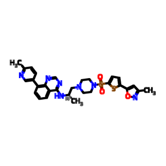 Cc1ccc(-c2cccc3c(N[C@@H](C)CN4CCN(S(=O)(=O)c5ccc(-c6cc(C)no6)s5)CC4)ncnc23)cn1